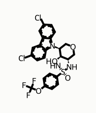 N=S(=O)(N[C@H]1COC[C@H](n2c3ccc(Cl)cc3c3cc(Cl)ccc32)[C@@H]1O)c1ccc(OC(F)(F)F)cc1